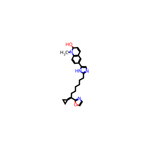 CN1c2ccc(-c3cnc(CCCCCCC(=C4CC4)c4ncco4)[nH]3)cc2C=CC1O